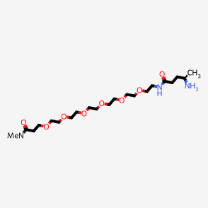 CNC(=O)CCOCCOCCOCCOCCOCCOCCNC(=O)CC[C@@H](C)N